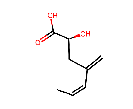 C=C(/C=C\C)C[C@H](O)C(=O)O